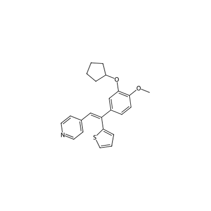 COc1ccc(C(=Cc2ccncc2)c2cccs2)cc1OC1CCCC1